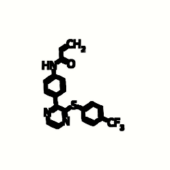 C=CC(=O)Nc1ccc(-c2nccnc2Sc2ccc(C(F)(F)F)cc2)cc1